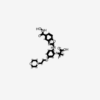 O=C(NO)c1ccc2oc(Nc3ccc(OCCN4CCOCC4)cc3)nc2c1.O=C(O)C(F)(F)F